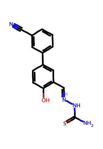 N#Cc1cccc(-c2ccc(O)c(/C=N/NC(N)=S)c2)c1